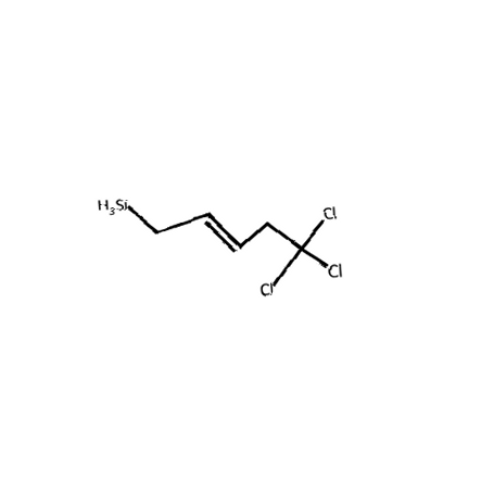 [SiH3]CC=CCC(Cl)(Cl)Cl